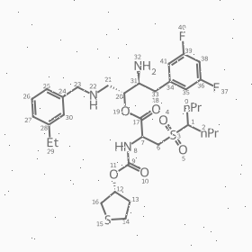 CCCC(CCC)S(=O)(=O)CC(NC(=O)O[C@@H]1CCSC1)C(=O)O[C@H](CNCc1cccc(CC)c1)[C@@H](N)Cc1cc(F)cc(F)c1